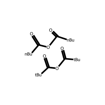 CC(C)(C)C(=O)OC(=O)C(C)(C)C.CCCCC(=O)OC(=O)CCCC